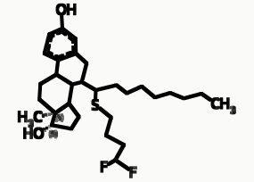 CCCCCCCCC(SCCCC(F)F)C1Cc2cc(O)ccc2C2CC[C@@]3(C)C(CC[C@@H]3O)C21